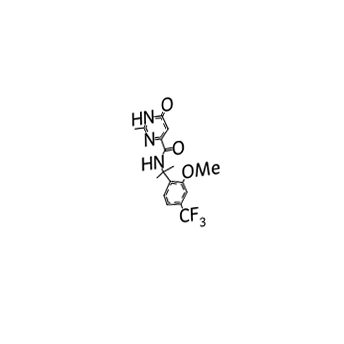 COc1cc(C(F)(F)F)ccc1C(C)(C)NC(=O)c1cc(=O)[nH]c(C)n1